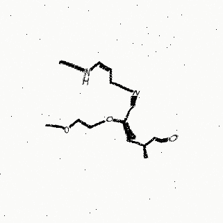 CN/C=C\C/N=C\C(=C/C(C)C=O)OCCOC